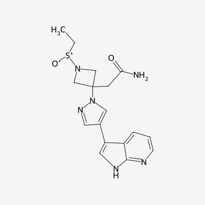 CC[S+]([O-])N1CC(CC(N)=O)(n2cc(-c3c[nH]c4ncccc34)cn2)C1